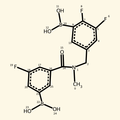 CN(Cc1cc(F)c(F)c(B(O)O)c1)C(=O)c1cc(F)cc(B(O)O)c1